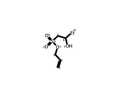 C=CCOS(=O)(=O)CC(O)CC